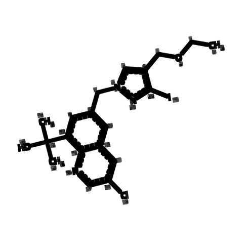 CCOCc1cn(Cc2cc(C(C)(C)O)c3ncc(Cl)cc3c2)nc1I